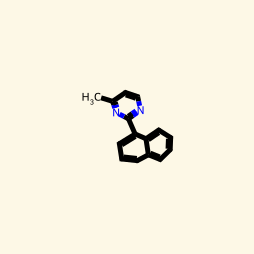 Cc1ccnc(-c2cccc3ccccc23)n1